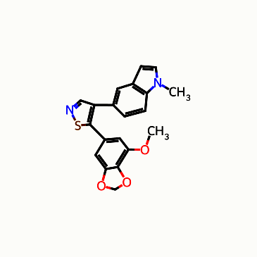 COc1cc(-c2sncc2-c2ccc3c(ccn3C)c2)cc2c1OCO2